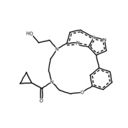 O=C(C1CC1)N1CCOc2cccc(c2)-c2cnn3ccc(nc23)N(CCO)CC1